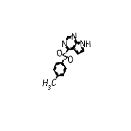 Cc1ccc(S(=O)(=O)c2ncnc3[nH]ccc23)cc1